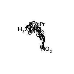 CCCOc1ccc(S(=O)(=O)N2CCN(CCCO[N+](=O)[O-])CC2)cc1-c1nc2c(CCC)cn(C)c2c(=O)[nH]1